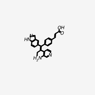 CC/C(=C(/c1ccc(/C=C/C(=O)O)cc1)c1ccc2[nH]ncc2c1)c1ccncc1N